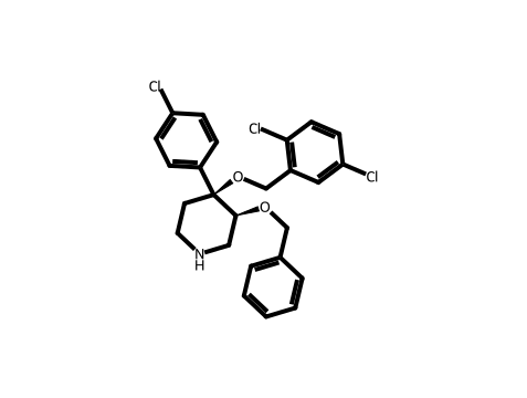 Clc1ccc([C@@]2(OCc3cc(Cl)ccc3Cl)CCNC[C@@H]2OCc2ccccc2)cc1